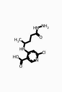 CC(CCC(=O)NN)Nc1cc(Cl)ncc1C(=O)O